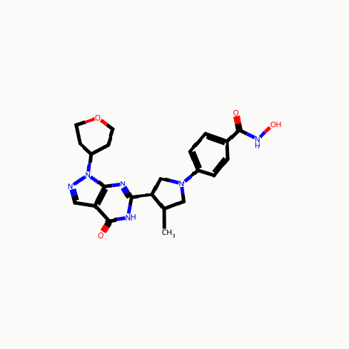 CC1CN(c2ccc(C(=O)NO)cc2)CC1c1nc2c(cnn2C2CCOCC2)c(=O)[nH]1